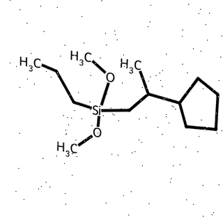 CCC[Si](CC(C)C1CCCC1)(OC)OC